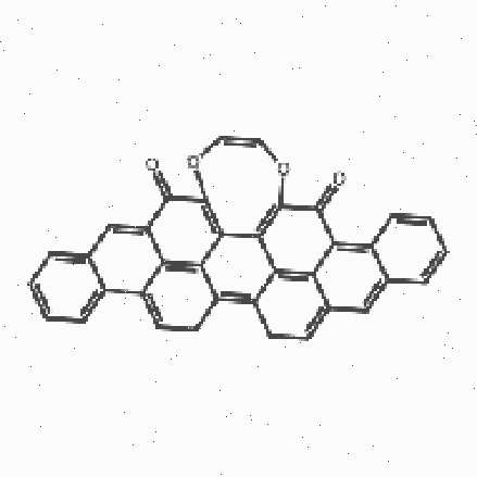 O=C1c2c3c(cc4ccccc24)=CCc2c4c5c6c(occoc1c6c2=3)C(=O)c1cc2ccccc2c(c1=5)=CC4